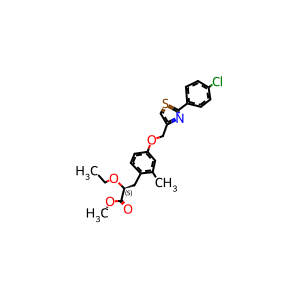 CCO[C@@H](Cc1ccc(OCc2csc(-c3ccc(Cl)cc3)n2)cc1C)C(=O)OC